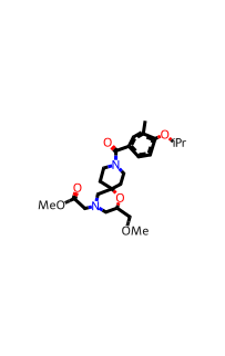 COCC1CN(CC(=O)OC)CC2(CCN(C(=O)c3ccc(OC(C)C)c(C)c3)CC2)O1